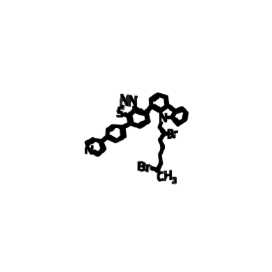 CC(Br)CCCCC(Br)Cn1c2ccccc2c2cccc(-c3ccc(-c4ccc(-c5ccncc5)cc4)c4snnc34)c21